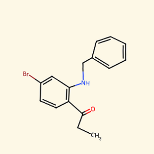 CCC(=O)c1ccc(Br)cc1NCc1ccccc1